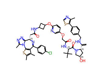 C=C(NCc1ccc(-c2scnc2C)cc1)[C@@H]1C[C@@H](O)CN1C(=O)[C@@H](NC(=O)COc1ccc(OC2CC(NC(=O)C[C@@H]3N=C(c4ccc(Cl)cc4)c4c(sc(C)c4C)-n4c(C)nnc43)C2)nc1)C(C)(C)C